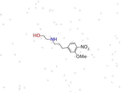 COc1cc(CCCNCCO)ccc1[N+](=O)[O-]